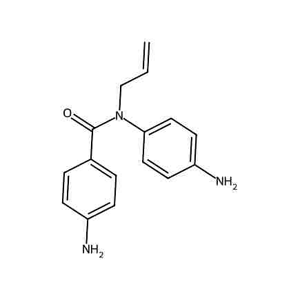 C=CCN(C(=O)c1ccc(N)cc1)c1ccc(N)cc1